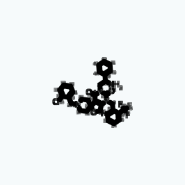 NC(Cn1c(=O)c2c(n(Cc3c(F)cccc3C(F)(F)F)c1=O)COC21CCN(Cc2ccccc2Cl)CC1)c1ccccc1